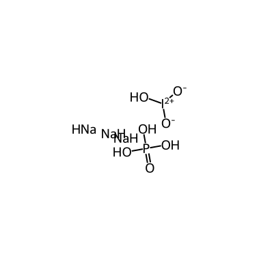 O=P(O)(O)O.[NaH].[NaH].[NaH].[O-][I+2]([O-])O